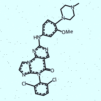 COc1cc(Nc2ncc3c(=O)n(-c4c(Cl)cccc4Cl)c4nccn4c3n2)ccc1N1CCN(C)CC1